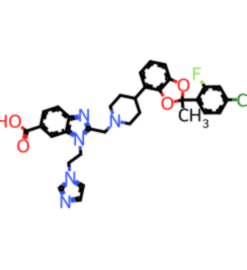 CC1(c2ccc(Cl)cc2F)Oc2cccc(C3CCN(Cc4nc5ccc(C(=O)O)cc5n4CCn4ccnc4)CC3)c2O1